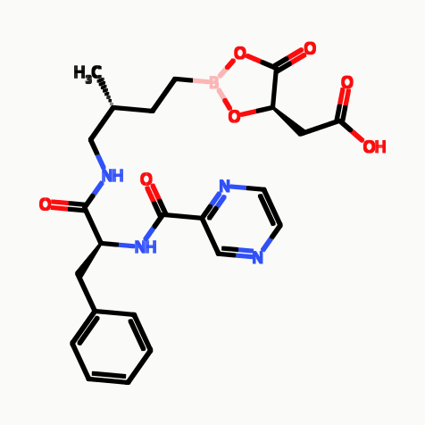 C[C@H](CCB1OC(=O)[C@@H](CC(=O)O)O1)CNC(=O)[C@H](Cc1ccccc1)NC(=O)c1cnccn1